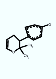 CC1(C)OC=CCC1c1ccc(Cl)cc1